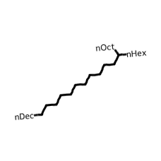 [CH2]CCCCCC(CCCCCCCC)CCCCCCCCCCCCCCCCCCCCC